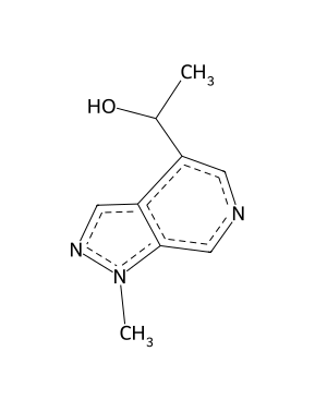 CC(O)c1cncc2c1cnn2C